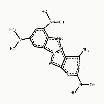 Nc1nc(N(O)O)nc2n[n+]3c4cc(N(O)O)cc(N(O)O)c4[nH]n3c12